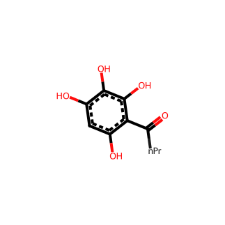 CCCC(=O)c1c(O)cc(O)c(O)c1O